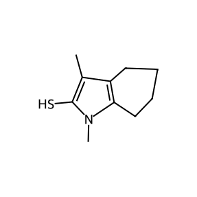 Cc1c2c(n(C)c1S)CCCC2